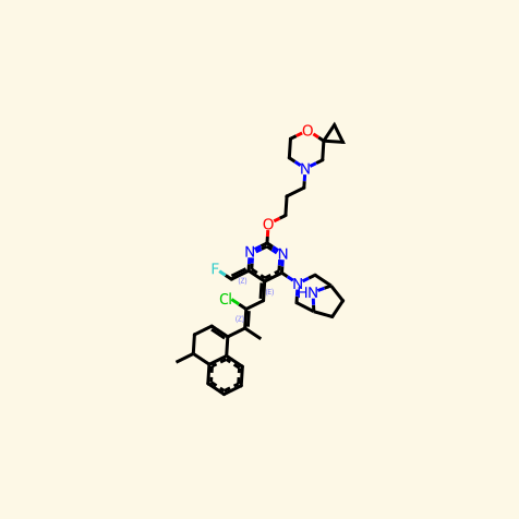 C\C(C1=CCC(C)c2ccccc21)=C(Cl)/C=c1/c(N2CC3CCC(C2)N3)nc(OCCCN2CCOC3(CC3)C2)n/c1=C\F